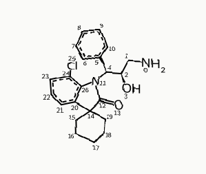 NC[C@@H](O)[C@H](c1ccccc1)N1C(=O)C2(CCCCC2)c2cccc(Cl)c21